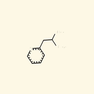 CCCCCCC(CCCCC)Cc1ccccn1